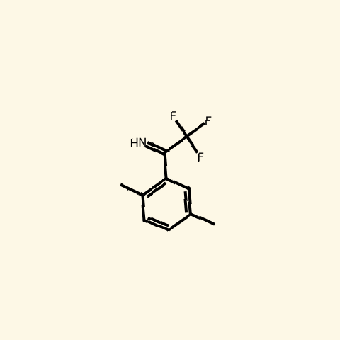 Cc1ccc(C)c(C(=N)C(F)(F)F)c1